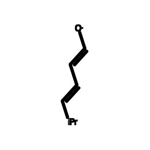 CC(C)C=CC=C[O]